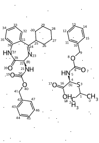 CC(C)S[C@H](NC(=O)OCc1ccccc1)C(=O)O.O=C(N[C@@H]1N=C(C2CCCCC2)c2ccccc2NC1=O)OCc1ccccc1